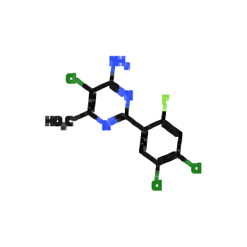 Nc1nc(-c2cc(Cl)c(Cl)cc2F)nc(C(=O)O)c1Cl